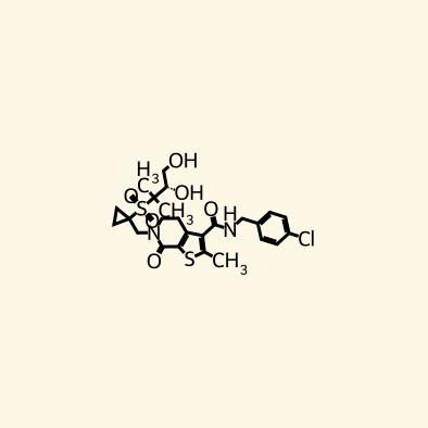 Cc1sc2c(c1C(=O)NCc1ccc(Cl)cc1)CCN(CC1(S(=O)(=O)C(C)(C)[C@@H](O)CO)CC1)C2=O